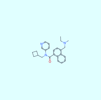 CCN(C)Cc1ccc(C(=O)N(CC2CCC2)c2cccnc2)c2ccccc12